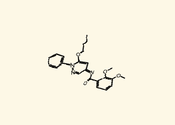 CCCCOc1cc(=NC(=O)c2cccc(OC)c2OC)cnn1-c1ccccc1